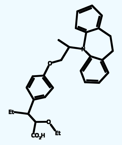 CCOC(C(=O)O)C(CC)c1ccc(OCC(C)N2c3ccccc3CCc3ccccc32)cc1